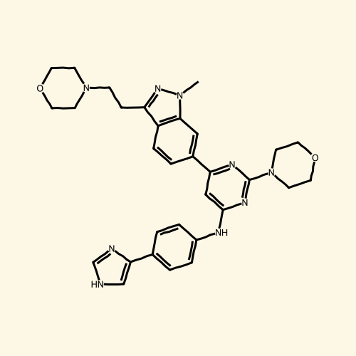 Cn1nc(CCN2CCOCC2)c2ccc(-c3cc(Nc4ccc(-c5c[nH]cn5)cc4)nc(N4CCOCC4)n3)cc21